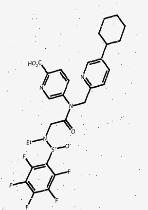 CCN(CC(=O)N(Cc1ccc(C2CCCCC2)cn1)c1ccc(C(=O)O)nc1)[S+]([O-])c1c(F)c(F)c(F)c(F)c1F